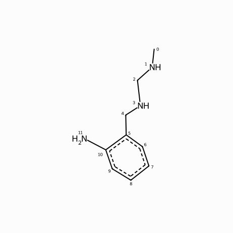 CNCNCc1ccccc1N